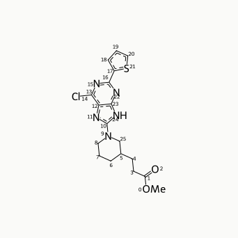 COC(=O)CCC1CCCN(c2nc3c(Cl)nc(-c4cccs4)nc3[nH]2)C1